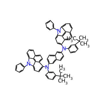 CC(C)(C)c1cccc(N(c2ccc3cc(N(c4cccc(C(C)(C)C)c4)c4ccc5c6c4ccc4cccc(c46)n5-c4ccccc4)ccc3c2)c2ccc3c4c2ccc2cccc(c24)n3-c2ccccc2)c1